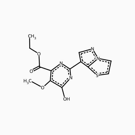 CCOC(=O)c1nc(-c2cnn3ccsc23)nc(O)c1OC